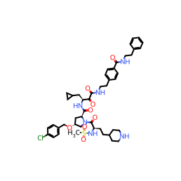 CS(=O)(=O)N[C@H](CCC1CCNCC1)C(=O)N1C[C@H](OCc2ccc(Cl)cc2)C[C@H]1C(=O)N[C@@H](CC1CC1)C(=O)C(=O)NCCc1ccc(C(=O)NCCc2ccccc2)cc1